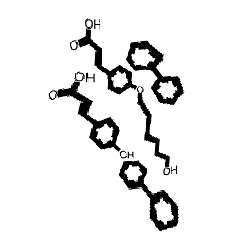 O=C(O)C=Cc1ccc(O)cc1.O=C(O)C=Cc1ccc(OCCCCCCO)cc1.c1ccc(-c2ccccc2)cc1.c1ccc(-c2ccccc2)cc1